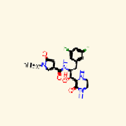 CCCCCCN1CC(C(=O)N[C@@H](Cc2cc(F)cc(F)c2)[C@H](O)[C@@H]2NCCNC2=O)CC1=O